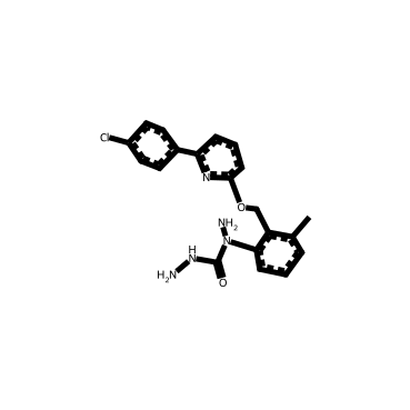 Cc1cccc(N(N)C(=O)NN)c1COc1cccc(-c2ccc(Cl)cc2)n1